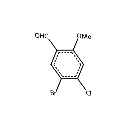 COc1cc(Cl)c(Br)cc1C=O